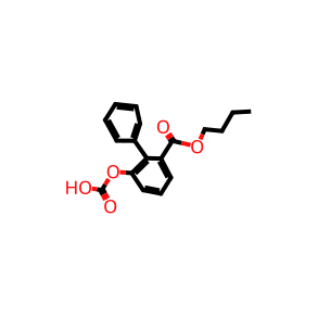 CCCCOC(=O)c1cccc(OC(=O)O)c1-c1ccccc1